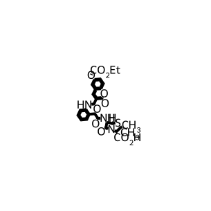 CCOC(=O)Oc1ccc2oc(=O)c(C(=O)Nc3ccccc3CC(=O)NC3C(=O)N4[C@@H]3SC(C)(C)[C@@H]4C(=O)O)cc2c1